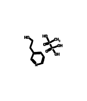 CP(=O)(O)P(=O)(O)O.OCCc1cccnc1